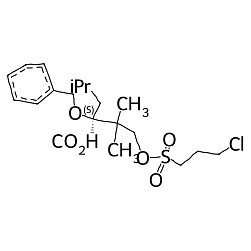 CC(C)C[C@@](OCc1ccccc1)(C(=O)O)C(C)(C)COS(=O)(=O)CCCCl